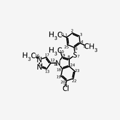 Cc1ccc(C)c(Sc2c(C)n(-c3cnn(C)c3)c3cc(Cl)ccc23)c1